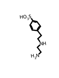 NCCNCCc1ccc(S(=O)(=O)O)cc1